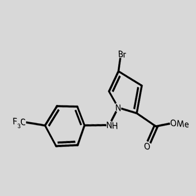 COC(=O)c1cc(Br)cn1Nc1ccc(C(F)(F)F)cc1